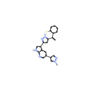 C=C(c1cc(-c2c[nH]c3ncc(-c4cnn(C)c4)cc23)n[nH]1)c1ccccc1F